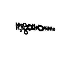 CNC1CCC(n2cc3cc(C(N)=O)c(OC)cc3n2)CC1